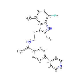 C=C(NCCc1c(C)[nH]c2c(F)ccc(C)c12)c1ccc(-c2ccncc2)cc1